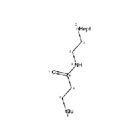 CCCCCCCCCNC(=O)CCC(C)(C)C